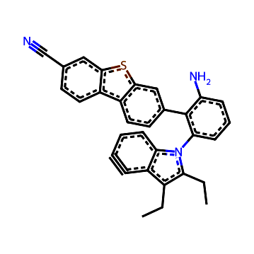 CCc1c(CC)n(-c2cccc(N)c2-c2ccc3c(c2)sc2cc(C#N)ccc23)c2ccc#cc12